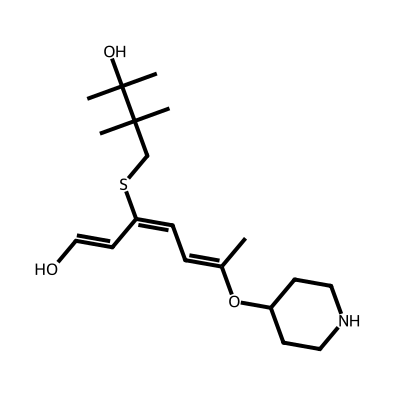 C\C(=C/C=C(\C=C\O)SCC(C)(C)C(C)(C)O)OC1CCNCC1